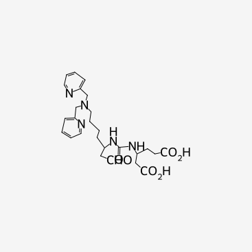 O=CCC(CCCCN(Cc1ccccn1)Cc1ccccn1)NC(=O)NC(CCC(=O)O)CC(=O)O